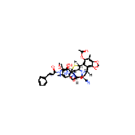 COc1c(C)cc2c(c1O)[C@H]1C3[C@@H]4SC[C@H](NC(=O)C(C)NC(=O)/C=C/c5ccccc5)C(=O)OC[C@@H](c5c6c(c(C)c(OC(C)=O)c54)OCO6)N3[C@@H](C#N)[C@@H](C2)N1C